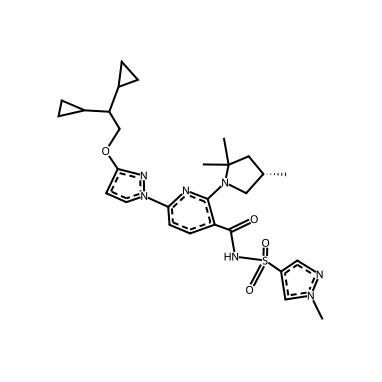 C[C@@H]1CN(c2nc(-n3ccc(OCC(C4CC4)C4CC4)n3)ccc2C(=O)NS(=O)(=O)c2cnn(C)c2)C(C)(C)C1